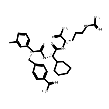 Cc1cccc([C@@H](Cc2ccc(C(=N)N)cc2)C(=O)N[C@H](C(=O)N[C@@H](CCCNC(=N)N)C(N)=O)C2CCCCC2)c1